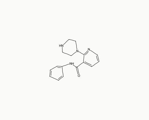 O=C(Nc1ccccc1)c1cccnc1N1CCNCC1